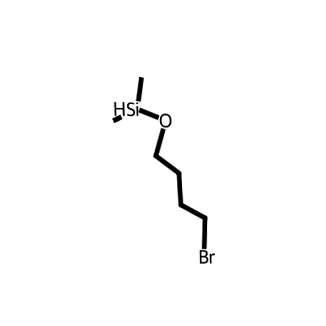 C[SiH](C)OCCCCBr